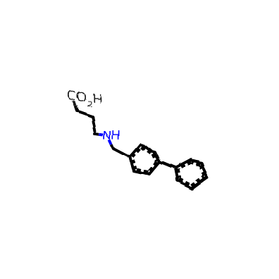 O=C(O)CCCNCc1ccc(-c2ccccc2)cc1